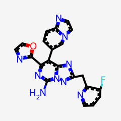 Nc1nc(-c2ncco2)c(-c2ccc3nccn3c2)c2nc(Cc3ncccc3F)nn12